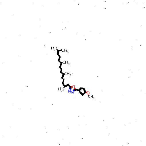 COc1ccc(-c2nnc(/C=C(\C)CC/C=C(\C)CC/C=C(\C)CCC=C(C)C)o2)cc1